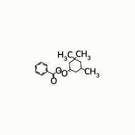 CC1C[C](OOC(=O)c2ccccc2)CC(C)(C)C1